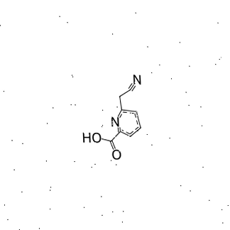 N#CCc1cccc(C(=O)O)n1